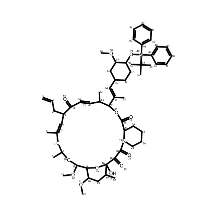 C=CCC1/C=C(\C)CC(C)CC(OC)C2OC(O)(C(=O)C(=O)N3CCCCC3C(=O)OC(C(C)=CC3CCC(O[Si](c4ccccc4)(c4ccccc4)C(C)(C)C)C(OC)C3)C(C)/C=C/C1=O)C(C)CC2OC